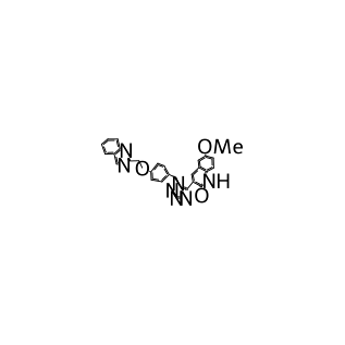 COc1ccc2[nH]c(=O)c(-c3nnnn3Cc3ccc(OCc4ncc5ccccc5n4)cc3)cc2c1